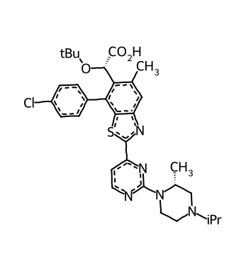 Cc1cc2nc(-c3ccnc(N4CCN(C(C)C)C[C@H]4C)n3)sc2c(-c2ccc(Cl)cc2)c1[C@H](OC(C)(C)C)C(=O)O